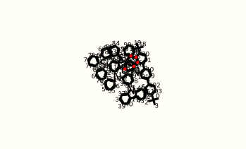 CC(C)(C)c1ccc(-c2ccc(-c3ccc(C(C)(C)C)cc3)c(N3c4ccccc4B4c5c(cc(-n6c7ccccc7c7ccccc76)cc53)N(c3ccccc3)c3cc([Si](c5ccccc5)(c5ccccc5)c5ccccc5)cc([Si](c5ccccc5)(c5ccccc5)c5ccccc5)c34)c2)cc1